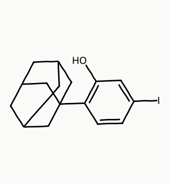 Oc1cc(I)ccc1C12CC3CC(CC(C3)C1)C2